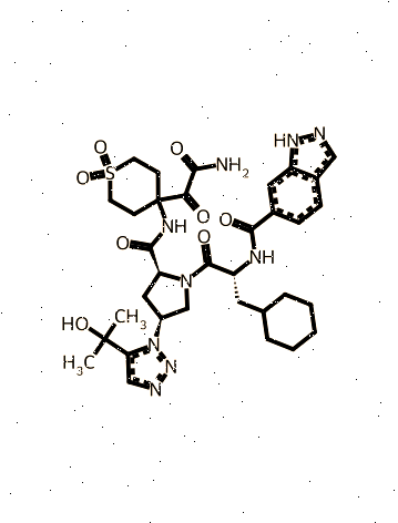 CC(C)(O)c1cnnn1[C@H]1C[C@@H](C(=O)NC2(C(=O)C(N)=O)CCS(=O)(=O)CC2)N(C(=O)[C@@H](CC2CCCCC2)NC(=O)c2ccc3cn[nH]c3c2)C1